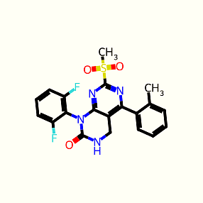 Cc1ccccc1-c1nc(S(C)(=O)=O)nc2c1CNC(=O)N2c1c(F)cccc1F